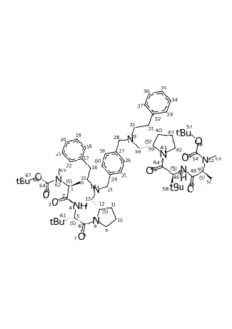 C[C@@H](C(=O)N[C@H](C(=O)N1CCC[C@H]1CN(CCc1ccccc1)Cc1ccc(CN(CCc2ccccc2)C[C@@H]2CCCN2C(=O)[C@@H](NC(=O)[C@H](C)N(C)C(=O)OC(C)(C)C)C(C)(C)C)cc1)C(C)(C)C)N(C)C(=O)OC(C)(C)C